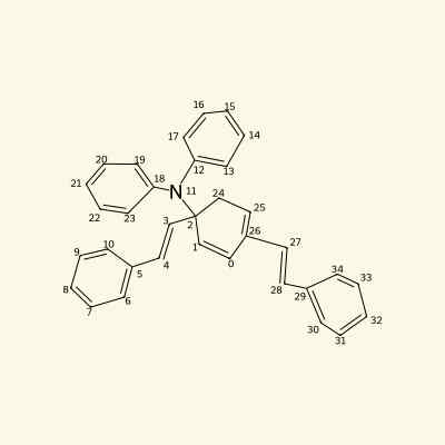 C1=CC(/C=C/c2ccccc2)(N(c2ccccc2)c2ccccc2)CC=C1/C=C/c1ccccc1